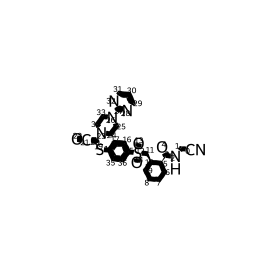 N#CCNC(=O)[C@@H]1CCCC[C@H]1CS(=O)(=O)c1ccc(SC(=C=O)N2CCN(c3ncccn3)CC2)cc1